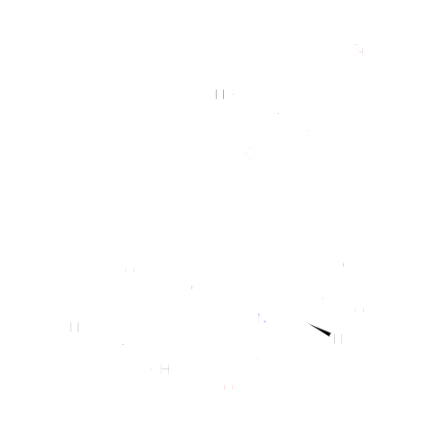 CC(C)(CCBr)OC(=O)CC1=C(OCC(=O)C(C)(C)C)N2C(=O)C[C@H]2S(=O)(=O)C1